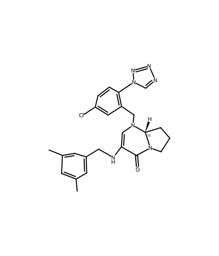 Cc1cc(C)cc(CNC2=CN(Cc3cc(Cl)ccc3-n3cnnn3)[C@@H]3CCCN3C2=O)c1